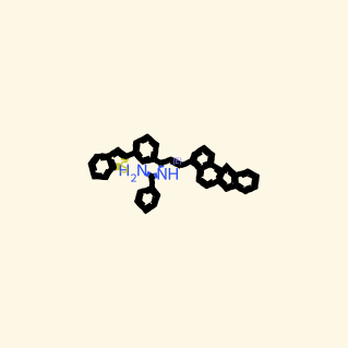 NC(NC(/C=C/c1cccc2c1ccc1cc3ccccc3cc12)c1cccc(-c2cc3ccccc3s2)c1)c1ccccc1